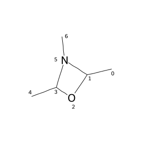 CC1OC(C)N1C